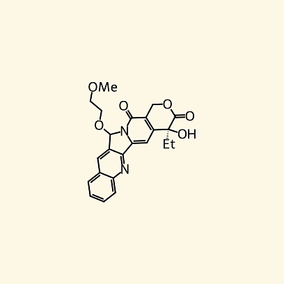 CC[C@@]1(O)C(=O)OCc2c1cc1n(c2=O)C(OCCOC)c2cc3ccccc3nc2-1